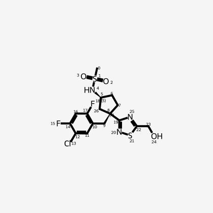 CS(=O)(=O)N[C@H]1CC[C@](Cc2cc(Cl)c(F)cc2F)(c2nsc(CO)n2)C1